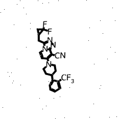 N#Cc1c(N2CCC(c3ccccc3C(F)(F)F)CC2)ccn2c(CC3CC3(F)F)nnc12